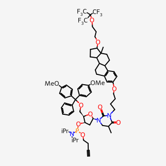 C#CCCOP(O[C@@H]1C[C@H](N2CC(C)C(=O)N(CCCCOc3ccc4c(c3)CCC3C4CCC4(C)C(OCCCOC(C(F)(F)F)(C(F)(F)F)C(F)(F)F)CCC34)C2=O)O[C@@H]1COC(c1ccccc1)(c1ccc(OC)cc1)c1ccc(OC)cc1)N(C(C)C)C(C)C